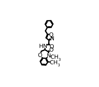 Cc1cccc2c1N(C)C(=O)C(NC(=O)c1cc(Cc3ccccc3)on1)CO2